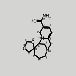 NC(=O)C1=CC=C2CN3CCCC4(COCO4)C(C3)N2C1